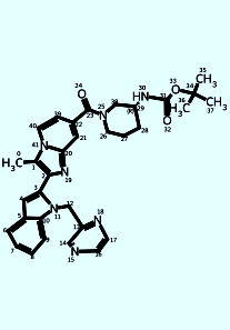 Cc1c(-c2cc3ccccc3n2Cc2cnccn2)nc2cc(C(=O)N3CCC[C@@H](NC(=O)OC(C)(C)C)C3)ccn12